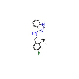 Fc1ccc(CCNc2ncnc3ccccc23)c(C(F)(F)F)c1